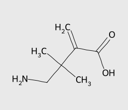 C=C(C(=O)O)C(C)(C)CN